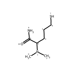 CN(C)C(CCCS)C(N)=O